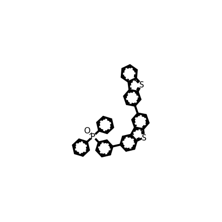 O=P(c1ccccc1)(c1ccccc1)c1cccc(-c2ccc3sc4ccc(-c5ccc6c(c5)sc5ccccc56)cc4c3c2)c1